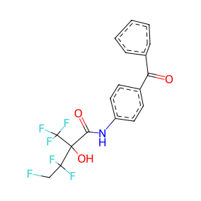 O=C(c1ccccc1)c1ccc(NC(=O)C(O)(C(F)(F)F)C(F)(F)CF)cc1